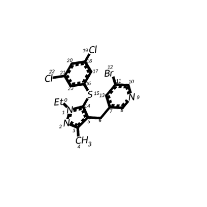 CCn1nc(C)c(Cc2cncc(Br)c2)c1Sc1cc(Cl)cc(Cl)c1